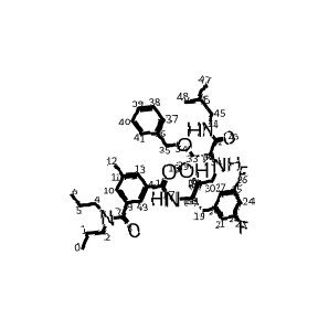 CCCN(CCC)C(=O)c1cc(C)cc(C(=O)N[C@@H](Cc2cc(F)cc(F)c2)[C@H](O)CN[C@H](COCc2ccccc2)C(=O)NCC(C)C)c1